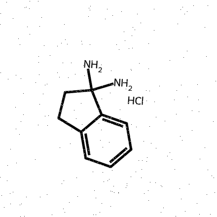 Cl.NC1(N)CCc2ccccc21